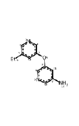 CCc1cncc(Oc2cncc(N)c2)c1